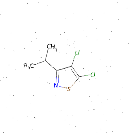 CC(C)c1nsc(Cl)c1Cl